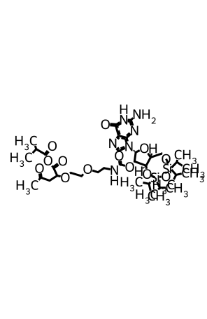 CC(=O)CC(OCCOCCNC(=O)O[C@@H]1[C@@H]2O[Si](C(C)C)(C(C)C)O[Si](C(C)C)(C(C)C)OC[C@H]2O[C@H]1n1cnc2c(=O)[nH]c(N)nc21)C(=O)OC(=O)C(C)C